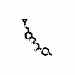 CN1CCN(C(=O)CNCc2cc(/C=N/C3CC3)ccn2)CC1